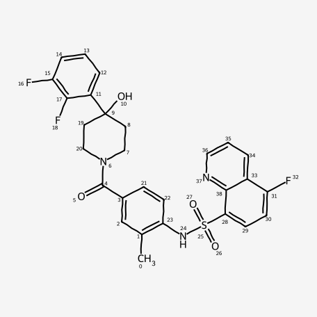 Cc1cc(C(=O)N2CCC(O)(c3cccc(F)c3F)CC2)ccc1NS(=O)(=O)c1ccc(F)c2cccnc12